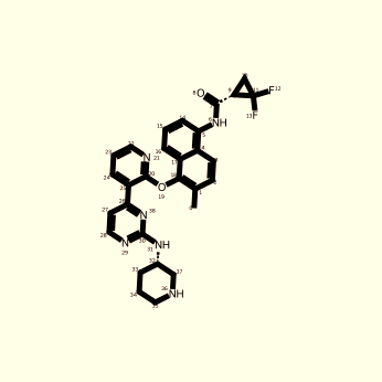 Cc1ccc2c(NC(=O)[C@@H]3CC3(F)F)cccc2c1Oc1ncccc1-c1ccnc(N[C@H]2CCCNC2)n1